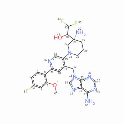 COc1cc(F)ccc1-c1cc(Cn2cnc3c(N)ncnc32)c(N2CCC[C@](N)(C(O)C(F)F)C2)cn1